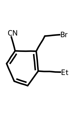 CCc1cccc(C#N)c1CBr